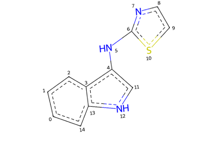 c1ccc2c(Nc3nccs3)c[nH]c2c1